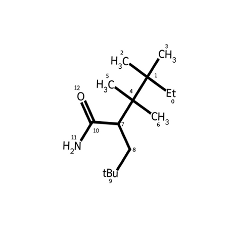 CCC(C)(C)C(C)(C)C(CC(C)(C)C)C(N)=O